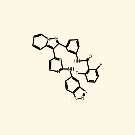 O=C(Nc1cccc(-c2nn3ccccc3c2-c2ccnc(Nc3ccc4[nH]nnc4c3)n2)c1)c1c(F)cccc1F